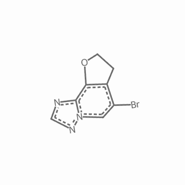 Brc1cn2ncnc2c2c1CCO2